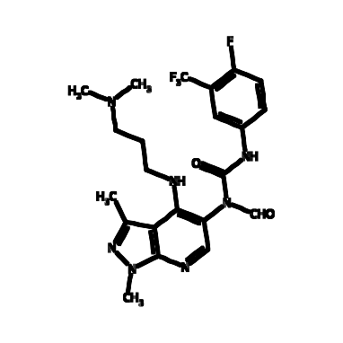 Cc1nn(C)c2ncc(N(C=O)C(=O)Nc3ccc(F)c(C(F)(F)F)c3)c(NCCCN(C)C)c12